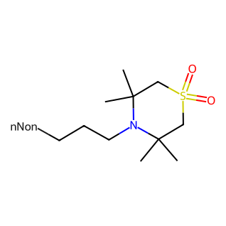 CCCCCCCCCCCCN1C(C)(C)CS(=O)(=O)CC1(C)C